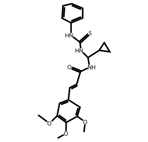 COc1cc(/C=C/C(=O)NC(NC(=S)Nc2ccccc2)C2CC2)cc(OC)c1OC